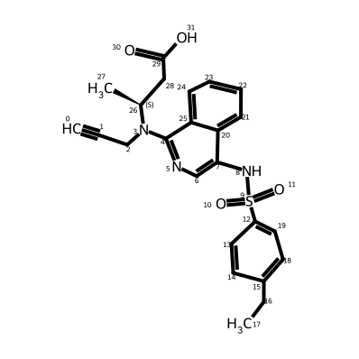 C#CCN(c1ncc(NS(=O)(=O)c2ccc(CC)cc2)c2ccccc12)[C@@H](C)CC(=O)O